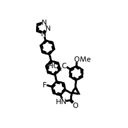 COc1ccc(C2CC23C(=O)Nc2cc(F)c(-c4ccc(-c5ccc(-n6ccnn6)cc5)cc4)cc23)cc1C(=O)O